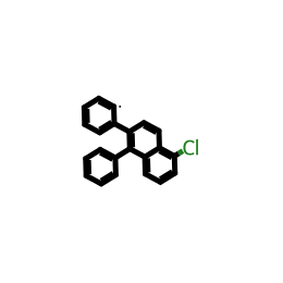 Clc1cccc2c(-c3ccccc3)c(-c3[c]cccc3)ccc12